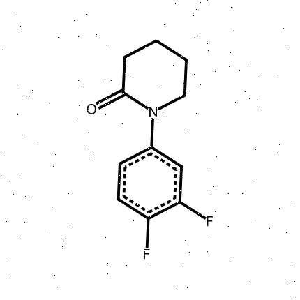 O=C1CCCCN1c1ccc(F)c(F)c1